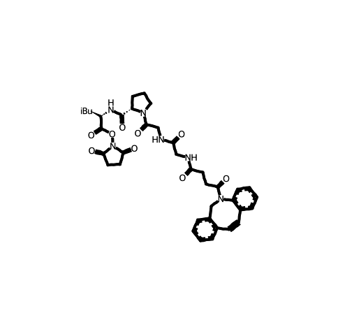 CC[C@H](C)[C@H](NC(=O)[C@@H]1CCCN1C(=O)CNC(=O)CNC(=O)CCC(=O)N1Cc2ccccc2C#Cc2ccccc21)C(=O)ON1C(=O)CCC1=O